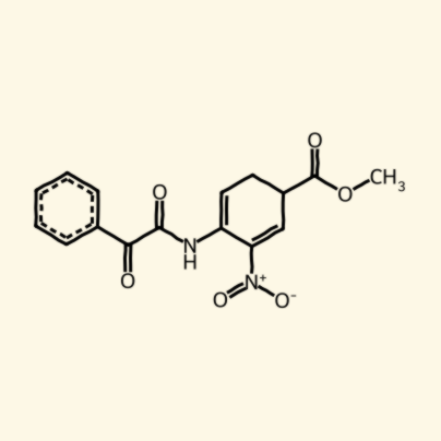 COC(=O)C1C=C([N+](=O)[O-])C(NC(=O)C(=O)c2ccccc2)=CC1